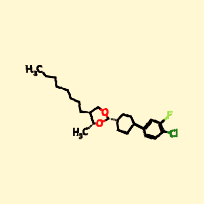 CCCCCCCC[C@H]1CO[C@H](C2CCC(c3ccc(Cl)c(F)c3)CC2)O[C@@H]1C